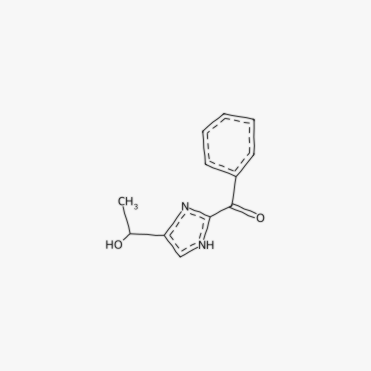 CC(O)c1c[nH]c(C(=O)c2ccccc2)n1